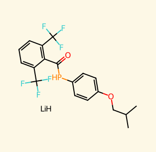 CC(C)COc1ccc(PC(=O)c2c(C(F)(F)F)cccc2C(F)(F)F)cc1.[LiH]